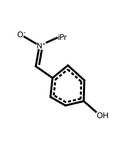 CC(C)/[N+]([O-])=C\c1ccc(O)cc1